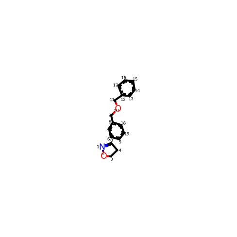 C1=NOCC1.c1ccc(COCc2ccccc2)cc1